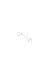 NNN(C(=O)NC(=O)c1ccccc1)c1cccc(F)c1